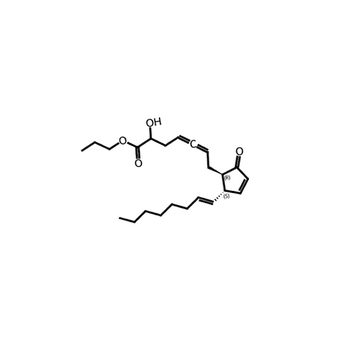 CCCCCCC=C[C@H]1C=CC(=O)[C@@H]1CC=C=CCC(O)C(=O)OCCC